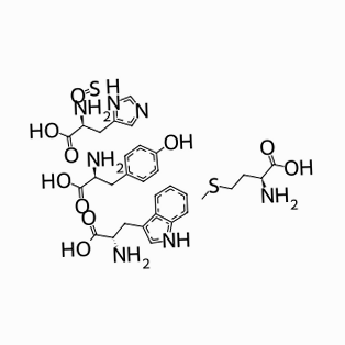 CSCC[C@H](N)C(=O)O.N[C@@H](Cc1c[nH]c2ccccc12)C(=O)O.N[C@@H](Cc1ccc(O)cc1)C(=O)O.N[C@@H](Cc1cnc[nH]1)C(=O)O.O=S